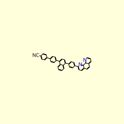 N#Cc1ccc(-c2ccc(-c3ccc(-c4ccc(-c5ccc6ccc7cccnc7c6n5)cc4)c4ccccc34)cc2)cc1